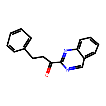 O=C(CCc1ccccc1)c1ncc2ccccc2n1